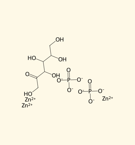 O=C(CO)C(O)C(O)C(O)CO.O=P([O-])([O-])[O-].O=P([O-])([O-])[O-].[Zn+2].[Zn+2].[Zn+2]